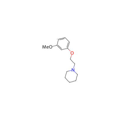 COc1[c]ccc(OCCN2CCCCC2)c1